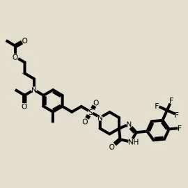 CC(=O)OC[CH]CN(C(C)=O)c1ccc(CCS(=O)(=O)N2CCC3(CC2)N=C(c2ccc(F)c(C(F)(F)F)c2)NC3=O)c(C)c1